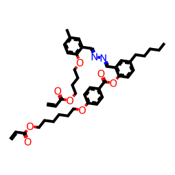 C=CC(=O)OCCCCCCOc1ccc(C(=O)Oc2ccc(CCCCC)cc2/C=N/N=C/c2cc(C)ccc2OCCCCOC(=O)C=C)cc1